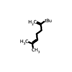 C=C(CCC=C(C)C)C(C)(C)C